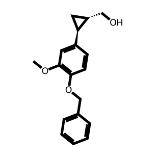 COc1cc([C@H]2C[C@@H]2CO)ccc1OCc1ccccc1